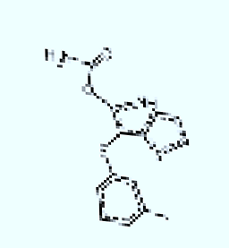 Cc1cccc(Sc2c(OC(N)=O)[nH]c3ccsc23)c1